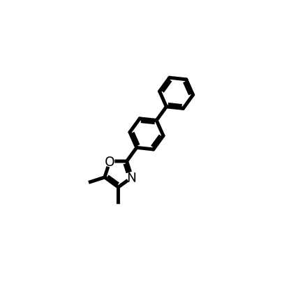 Cc1nc(-c2ccc(-c3ccccc3)cc2)oc1C